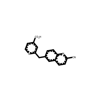 N#Cc1ccc2cc(Cc3cc(C(=O)O)ccn3)ccc2n1